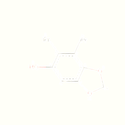 CC(C)c1c(O)cc2c(c1C(C)C)OCO2